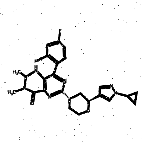 CC1Nc2c(nc([C@H]3CCO[C@H](c4cnn(C5CC5)c4)C3)nc2-c2ccc(F)cc2F)C(=O)N1C